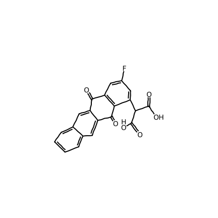 O=C1c2cc3ccccc3cc2C(=O)c2c1cc(F)cc2C(C(=O)O)C(=O)O